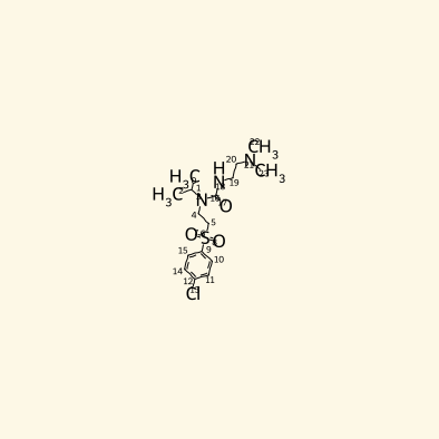 CC(C)N(CCS(=O)(=O)c1ccc(Cl)cc1)C(=O)NCCN(C)C